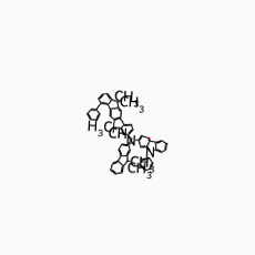 CC1(C)c2ccccc2-c2ccc(N(c3ccc4c(c3)C(C)(C)c3cc5c(cc3-4)C(C)(C)c3cccc(-c4ccccc4)c3-5)c3ccc4c5ccccc5n(-c5ccccc5)c4c3)cc21